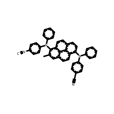 [C-]#[N+]c1ccc(N(c2ccccc2)c2c(C)cc3ccc4c(N(c5ccccc5)c5ccc(C#N)cc5)ccc5ccc2c3c54)cc1